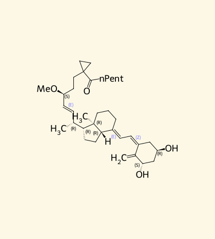 C=C1/C(=C\C=C2/CCC[C@]3(C)[C@@H]([C@H](C)/C=C/[C@H](CCC4(C(=O)CCCCC)CC4)OC)CC[C@@H]23)C[C@@H](O)C[C@@H]1O